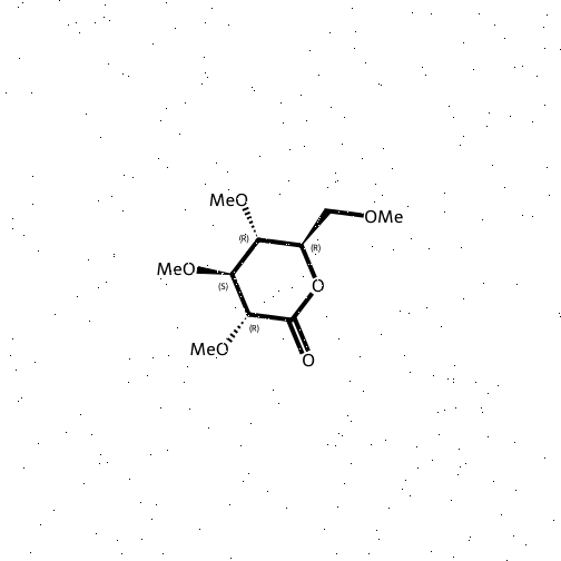 COC[C@H]1OC(=O)[C@H](OC)[C@@H](OC)[C@@H]1OC